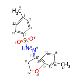 Cc1ccc(S(=O)(=O)N/N=C2\CCOc3cc(C)ccc32)cc1